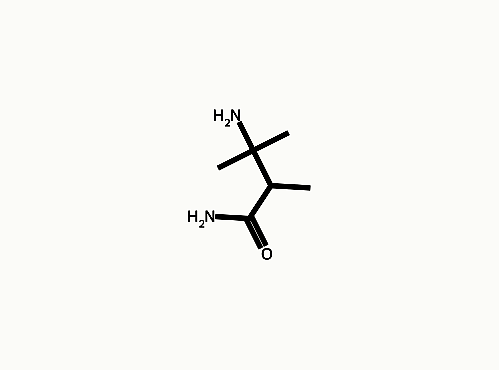 CC(C(N)=O)C(C)(C)N